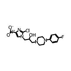 O=[N+]([O-])c1cn(CC(O)CN2CCN(c3ccc(F)cc3)CC2)c(Cl)n1